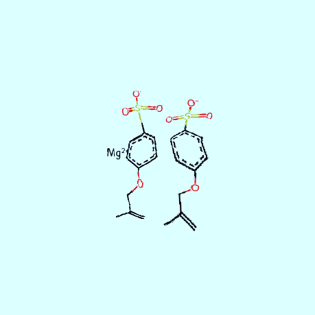 C=C(C)COc1ccc(S(=O)(=O)[O-])cc1.C=C(C)COc1ccc(S(=O)(=O)[O-])cc1.[Mg+2]